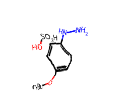 CCCCOc1ccc(NN)cc1.O=S(=O)(O)O